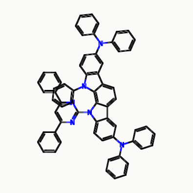 c1ccc(-c2cc(-c3ccccc3)nc(-n3c4ccc(N(c5ccccc5)c5ccccc5)cc4c4ccc5c6cc(N(c7ccccc7)c7ccccc7)ccc6n(-c6ccccc6)c5c43)n2)cc1